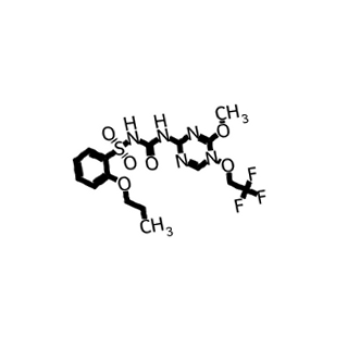 CCCOc1ccccc1S(=O)(=O)NC(=O)NC1N=CN(OCC(F)(F)F)C(OC)=N1